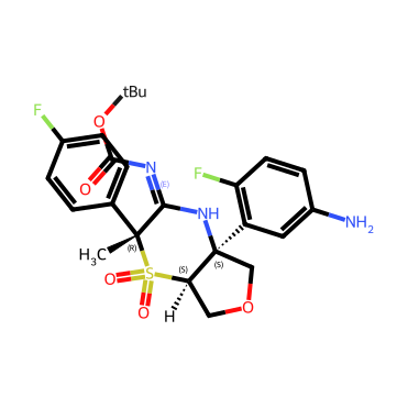 CC(C)(C)OC(=O)/N=C1/N[C@@]2(c3cc(N)ccc3F)COC[C@H]2S(=O)(=O)[C@]1(C)c1ccc(F)cc1